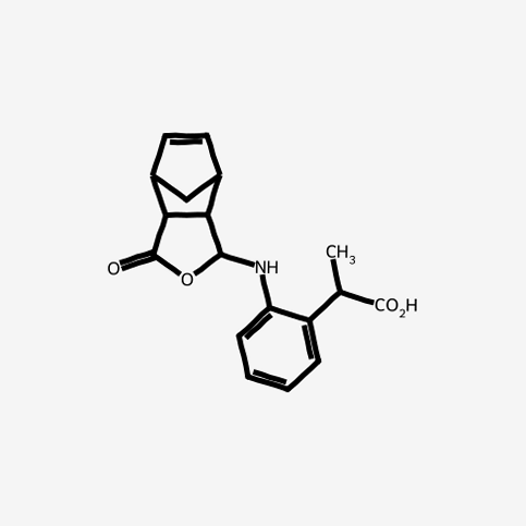 CC(C(=O)O)c1ccccc1NC1OC(=O)C2C3C=CC(C3)C12